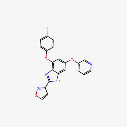 Fc1ccc(Oc2cc(Oc3cccnc3)cc3[nH]c(-c4ccon4)nc23)cc1